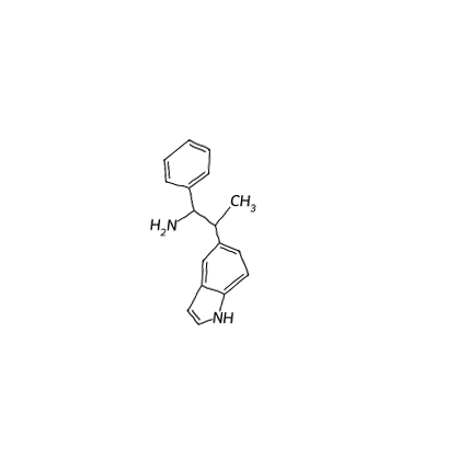 CC(c1ccc2[nH]ccc2c1)C(N)c1ccccc1